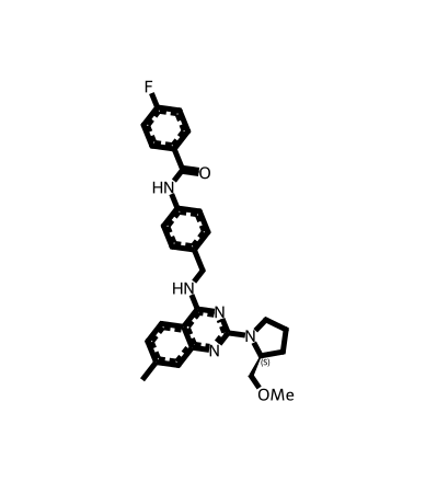 COC[C@@H]1CCCN1c1nc(NCc2ccc(NC(=O)c3ccc(F)cc3)cc2)c2ccc(C)cc2n1